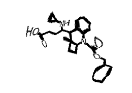 CC12CCC1N(C(=O)OCc1ccccc1)c1ccccc1C2C(CCC(=O)O)NC1CC1